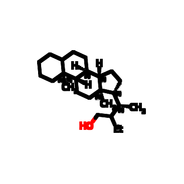 CCC(CO)[C@@H](C)[C@H]1CC[C@H]2[C@@H]3CCC4CCCC[C@]4(C)[C@H]3CC[C@]12C